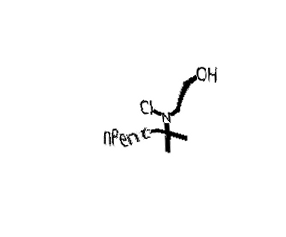 CCCCCC(C)(C)N(Cl)CCO